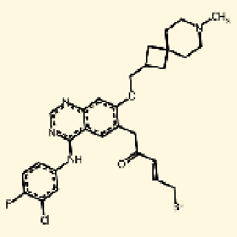 CN1CCC2(CC1)CC(COc1cc3ncnc(Nc4ccc(F)c(Cl)c4)c3cc1CC(=O)/C=C/CBr)C2